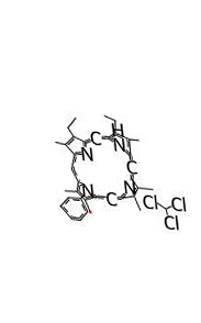 CCC1=C(C)c2cc3c(C)c(C)c(cc4nc(cc5[nH]c(cc1n2)c(CC)c5C)C(C)=C4C)n3-c1ccccc1.ClC(Cl)Cl